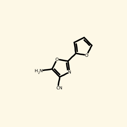 N#Cc1nc(-c2ccco2)oc1N